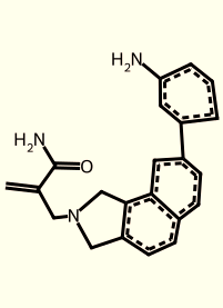 C=C(CN1Cc2ccc3ccc(-c4cccc(N)c4)cc3c2C1)C(N)=O